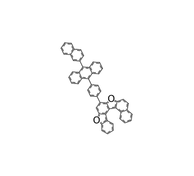 c1ccc2cc(-c3c4ccccc4c(-c4ccc(-c5cc6oc7ccccc7c6c6c5oc5ccc7ccccc7c56)cc4)c4ccccc34)ccc2c1